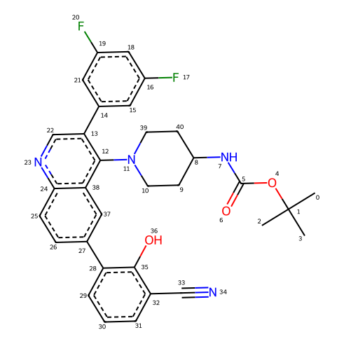 CC(C)(C)OC(=O)NC1CCN(c2c(-c3cc(F)cc(F)c3)cnc3ccc(-c4cccc(C#N)c4O)cc23)CC1